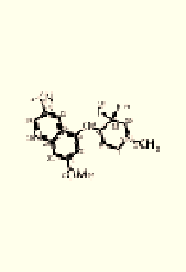 COc1cc(OC2CCN(C)CC2(F)F)c2cc(C#N)cnc2c1